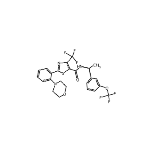 CC(NC(=O)c1sc(-c2ccccc2N2CCOCC2)nc1C(F)(F)F)c1cccc(OC(F)(F)F)c1